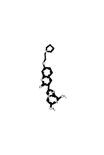 Cc1cn2cc(-c3cc4ccc(OCCN5CCCC5)cc4oc3=O)nc2c(C)n1